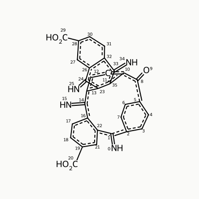 N=c1c2ccc(cc2)c(=O)c2ccc(c(=N)c3ccc(C(=O)O)cc13)c1c(=N)c3cc(C(=O)O)ccc3c(=N)c21